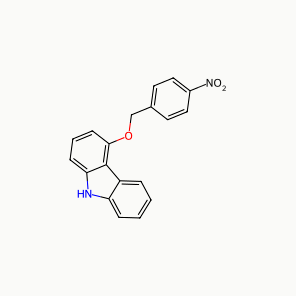 O=[N+]([O-])c1ccc(COc2cccc3[nH]c4ccccc4c23)cc1